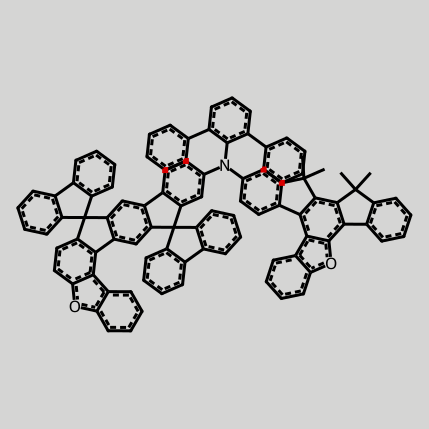 CC1(C)c2ccccc2-c2c1c1c(c3c2oc2ccccc23)-c2ccc(N(c3ccc4c(c3)C3(c5ccccc5-c5ccccc53)c3cc5c(cc3-4)C3(c4ccccc4-c4ccccc43)c3ccc4oc6ccccc6c4c3-5)c3c(-c4ccccc4)cccc3-c3ccccc3)cc2C1(C)C